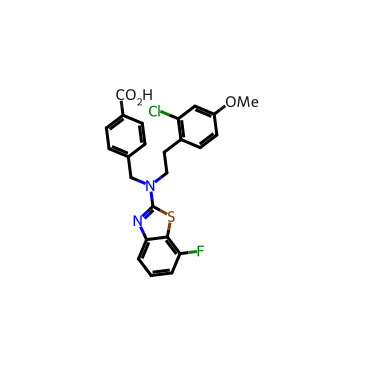 COc1ccc(CCN(Cc2ccc(C(=O)O)cc2)c2nc3cccc(F)c3s2)c(Cl)c1